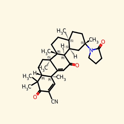 CC1(C)C(=O)C(C#N)=C[C@]2(C)C3=CC(=O)[C@@H]4[C@@H]5C[C@@](C)(N6CCCC6=O)CC[C@]5(C)CC[C@@]4(C)[C@]3(C)CC[C@@H]12